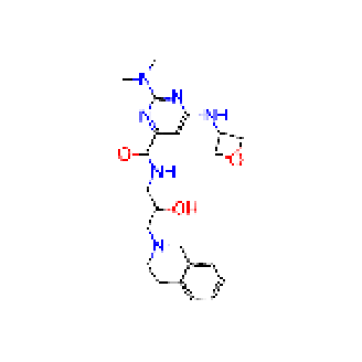 CN(C)c1nc(NC2COC2)cc(C(=O)NCC(O)CN2CCc3ccccc3C2)n1